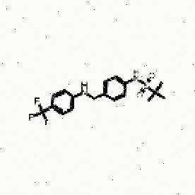 CC(C)(C)S(=O)(=O)Nc1ccc(CNc2ccc(C(F)(F)F)cc2)cc1